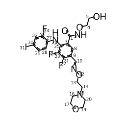 O=C(NOCCO)c1cc(C=NOCCN2CCOCC2)c(F)c(F)c1Nc1ccc(I)cc1F